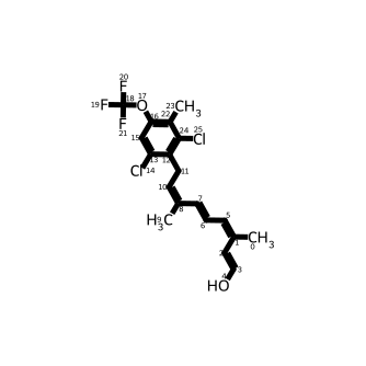 CC(C=CO)=CC=CC(C)=CCc1c(Cl)cc(OC(F)(F)F)c(C)c1Cl